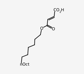 CCCCCCCCCCCCCCOC(=O)C=CC(=O)O